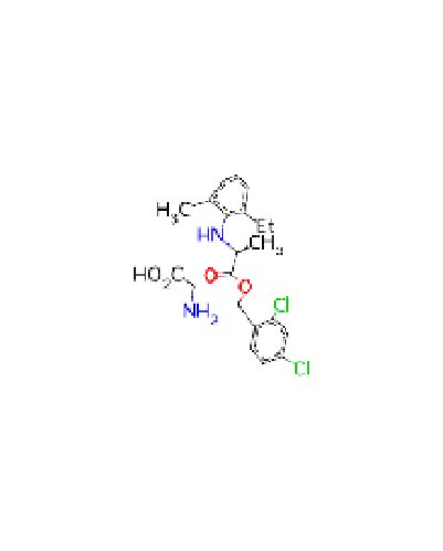 CCc1cccc(C)c1N[C@@H](C)C(=O)OCc1ccc(Cl)cc1Cl.NCC(=O)O